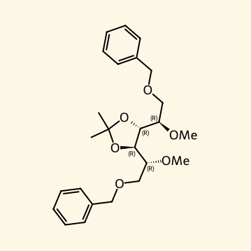 CO[C@H](COCc1ccccc1)[C@H]1OC(C)(C)O[C@@H]1[C@@H](COCc1ccccc1)OC